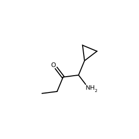 CCC(=O)C(N)C1CC1